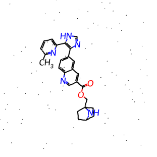 Cc1cccc(-c2[nH]cnc2-c2ccc3ncc(C(=O)OCC45CCC(CC4)N5)cc3c2)n1